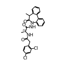 CC1C(=O)N(NC(=O)[C@H](C)NC(=O)Cc2ccc(Cl)cc2Cl)c2ccccc2-c2ccccc21